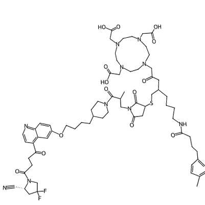 Cc1ccc(CCCC(=O)NCCCCC(CSC2CC(=O)N(CC(C)C(=O)N3CCC(CCCCOc4ccc5nccc(C(=O)CCC(=O)N6CC(F)(F)C[C@@H]6C#N)c5c4)CC3)C2=O)CC(=O)CN2CCN(CC(=O)O)CCN(CC(=O)O)CCN(CC(=O)O)CC2)cc1